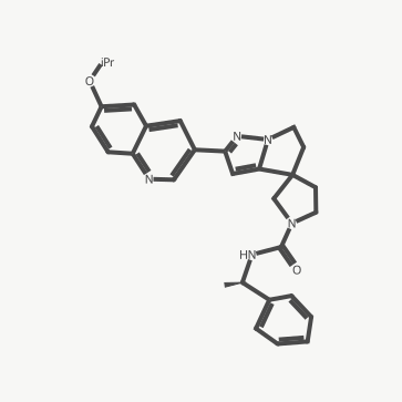 CC(C)Oc1ccc2ncc(-c3cc4n(n3)CCC43CCN(C(=O)N[C@H](C)c4ccccc4)C3)cc2c1